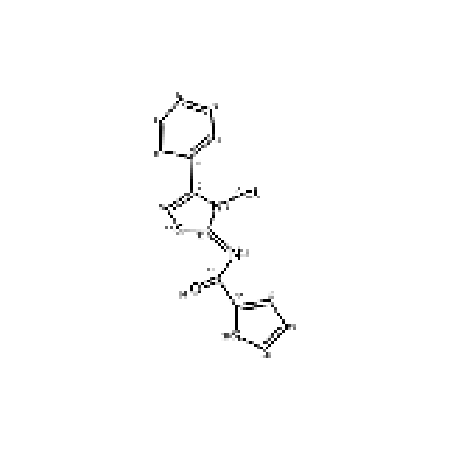 CCn1c(-c2ccccc2)csc1=NC(=O)c1cccs1